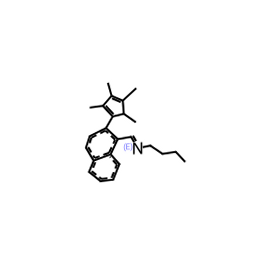 CCCC/N=C/c1c(C2=C(C)C(C)=C(C)C2C)ccc2ccccc12